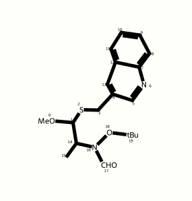 COC(SCc1cnc2ccccc2c1)C(C)N(C=O)OC(C)(C)C